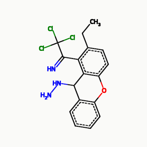 CCc1ccc2c(c1C(=N)C(Cl)(Cl)Cl)C(NN)c1ccccc1O2